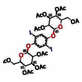 CC(=O)OCC1O[C@@H](Oc2cc(I)c(O[C@@H]3OC(COC(C)=O)[C@H](OC(C)=O)[C@H](OC(C)=O)C3OC(C)=O)cc2I)C(OC(C)=O)[C@@H](OC(C)=O)[C@@H]1OC(C)=O